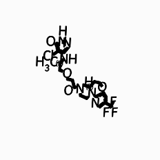 C[C@@H](COCCC(=O)N1CCN2c3ncc(C(F)(F)F)cc3OCC[C@@H]2C1)Nc1cn[nH]c(=O)c1Cl